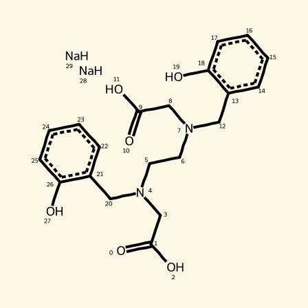 O=C(O)CN(CCN(CC(=O)O)Cc1ccccc1O)Cc1ccccc1O.[NaH].[NaH]